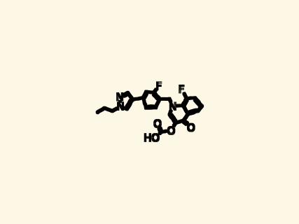 CCCn1cc(-c2ccc(Cn3cc(OC(=O)O)c(=O)c4cccc(F)c43)c(F)c2)cn1